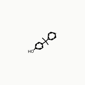 CC(C)(c1cc[c]cc1)c1ccc(O)cc1